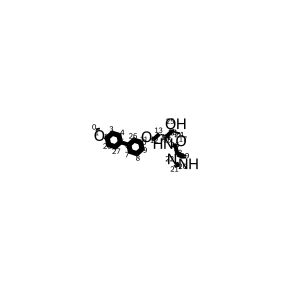 COc1ccc(-c2cccc(OCC[C@@H](NC(=O)c3c[nH]cn3)[C@H](C)O)c2)cc1